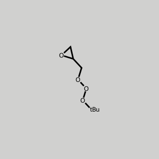 CC(C)(C)OOOCC1CO1